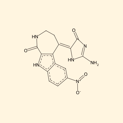 NC1=NC(=O)C(=C2CCNC(=O)c3[nH]c4ccc([N+](=O)[O-])cc4c32)N1